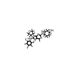 Cc1c(F)c(C)c(F)c(Nc2nc3c(C)nc(NC4(C)C(C)(C)C(C)(C)C(C)(O)C(C)(C)C4(C)C)nc3n2C2(C)C(C)(C)OC(C)(C)C2(C)C)c1F